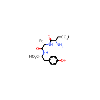 CC(C)[C@H](NC(=O)[C@H](N)CC(=O)O)C(=O)N[C@H](Cc1ccc(O)cc1)C(=O)O